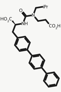 CC(C)CN(CCC(=O)O)C(=O)N[C@@H](Cc1ccc(-c2ccc(-c3ccccc3)cc2)cc1)C(=O)O